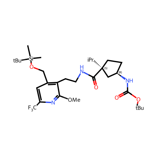 COc1nc(C(F)(F)F)cc(CO[Si](C)(C)C(C)(C)C)c1CCNC(=O)[C@@]1(C(C)C)CC[C@@H](NC(=O)OC(C)(C)C)C1